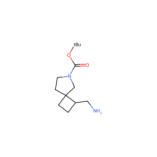 CC(C)(C)OC(=O)N1CCC2(CCC2CN)C1